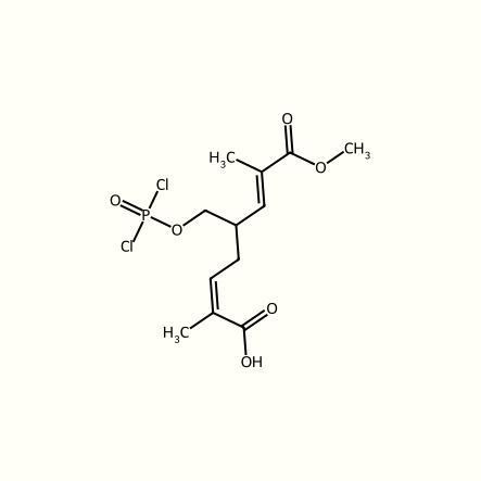 COC(=O)C(C)=CC(CC=C(C)C(=O)O)COP(=O)(Cl)Cl